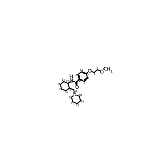 COCCOc1ccc(C(=O)NC2CCCCC2CN2CCCCC2)cc1